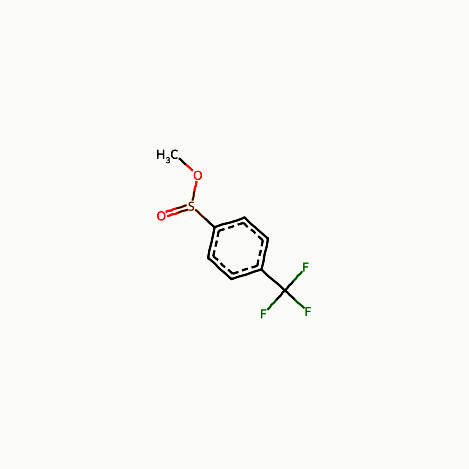 COS(=O)c1ccc(C(F)(F)F)cc1